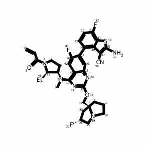 C=CC(=O)N1CC[C@@H](N(C)c2nc(OC[C@@]34CCCN3C[C@H](F)C4)nc3cc(-c4ccc(F)c5sc(N)c(C#N)c45)c(F)cc23)[C@H]1CC